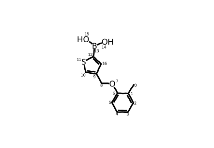 Cc1ccccc1OCc1csc(B(O)O)c1